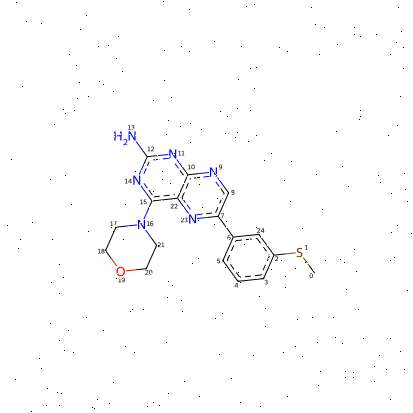 CSc1cccc(-c2cnc3nc(N)nc(N4CCOCC4)c3n2)c1